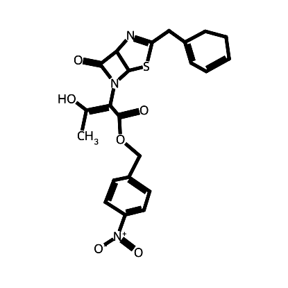 CC(O)=C(C(=O)OCc1ccc([N+](=O)[O-])cc1)N1C(=O)C2N=C(CC3=CC=CCC3)SC21